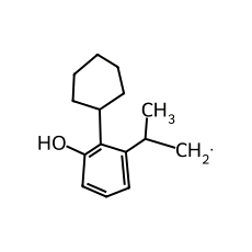 [CH2]C(C)c1cccc(O)c1C1CCCCC1